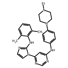 CCN1CCN(c2ccc(Nc3cc(-n4ccnc4Nc4c(C)cccc4C)ncn3)cc2)CC1